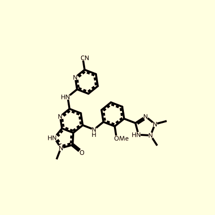 COc1c(Nc2cc(Nc3cccc(C#N)n3)nc3[nH]n(C)c(=O)c23)cccc1C1=NN(C)N(C)N1